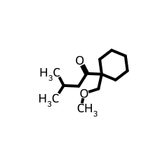 COCC1(C(=O)CC(C)C)CCCCC1